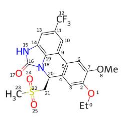 CCOc1cc2c(cc1OC)-c1cc(C(F)(F)F)cc3[nH]c(=O)n(c13)[C@@H]2CS(C)(=O)=O